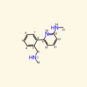 CNCc1ccccc1-c1cccc(NC)n1